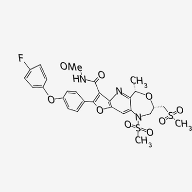 CONC(=O)c1c(-c2ccc(Oc3ccc(F)cc3)cc2)oc2cc3c(nc12)[C@H](C)O[C@H](CS(C)(=O)=O)CN3S(C)(=O)=O